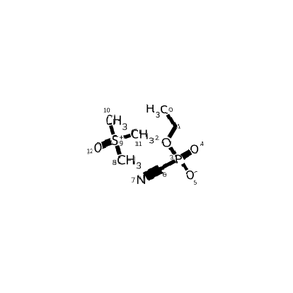 CCOP(=O)([O-])C#N.C[S+](C)(C)=O